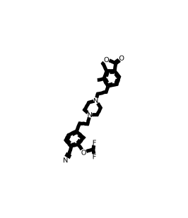 Cc1c(CCN2CCN(CCc3ccc(C#N)c(OC(F)F)c3)CC2)ccc2c1COC2=O